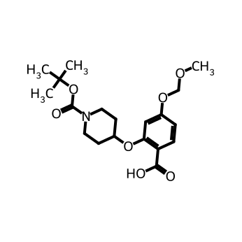 COCOc1ccc(C(=O)O)c(OC2CCN(C(=O)OC(C)(C)C)CC2)c1